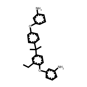 CCc1cc(C(C)(C)c2ccc(Oc3cccc(N)c3)cc2)ccc1Oc1cccc(N)c1